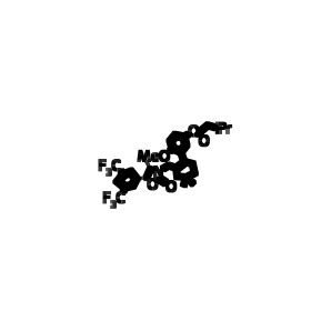 COc1ccc(OC(=O)CC(C)C)cc1C1=C(CN2C(=O)O[C@H](c3cc(C(F)(F)F)cc(C(F)(F)F)c3)[C@@H]2C)CC(C)(C)CC1